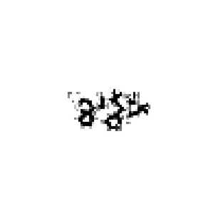 CC1(C)CC(=O)N([C@H](c2cccnc2)[C@H]2[C@H](C(=O)N[C@H]3C[C@H](C(F)(F)F)Oc4ccccc43)C2(C)C)C(=N)N1